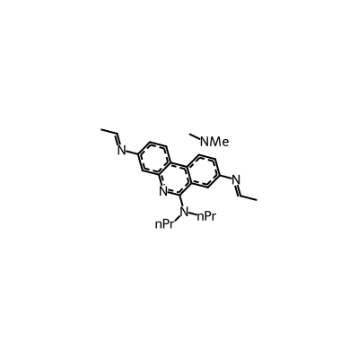 CC=Nc1ccc2c(c1)nc(N(CCC)CCC)c1cc(N=CC)ccc12.CNC